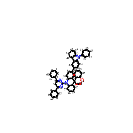 c1ccc(-c2cc(-c3ccccc3)nc(N3c4ccccc4C4(c5ccccc5Oc5ccccc54)c4cc(-c5ccc6c(c5)c5ccccc5n6-c5ccccc5)ccc43)n2)cc1